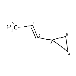 CC=CC1CC1